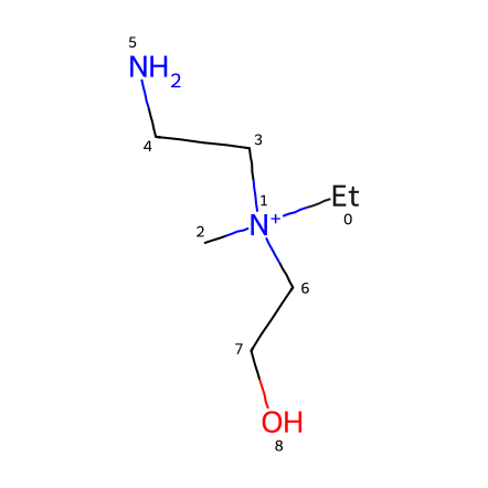 CC[N+](C)(CCN)CCO